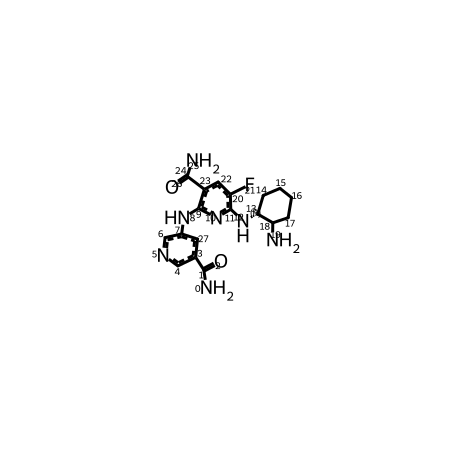 NC(=O)c1cncc(Nc2nc(N[C@@H]3CCCCC3N)c(F)cc2C(N)=O)c1